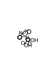 O=C(O)c1cn(CC2CCCCN2Cc2nc3ccccc3s2)cc(O)c1=O